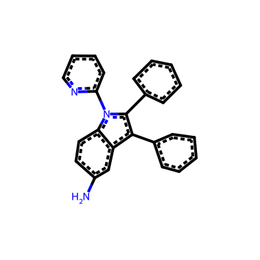 Nc1ccc2c(c1)c(-c1ccccc1)c(-c1ccccc1)n2-c1ccccn1